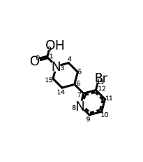 O=C(O)N1CCC(c2ncccc2Br)CC1